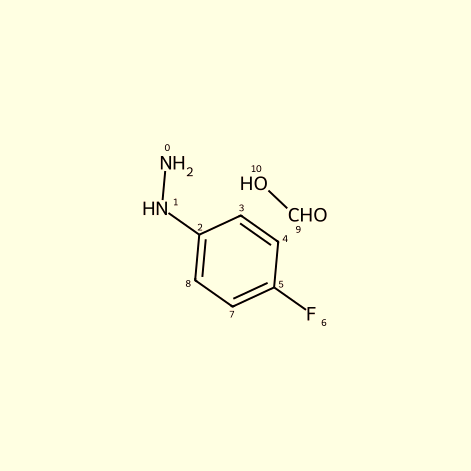 NNc1ccc(F)cc1.O=CO